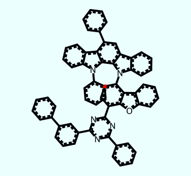 c1ccc(-c2cccc(-c3nc(-c4ccccc4)nc(-c4ccc(-n5c6ccccc6c6cc(-c7ccccc7)c7c8ccccc8n(-c8ccccc8)c7c65)c5c4oc4ccccc45)n3)c2)cc1